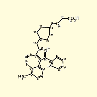 CCCc1c(-c2cccc(C)c2F)c(-c2ccccc2)nn1CC1CCC(COCC(=O)O)CC1